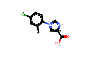 Cc1cc(Cl)ccc1-n1cnc(C(=O)O)c1